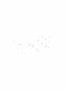 COc1ccc(Cl)cc1-c1nnc(CN2CCc3nc4ccccc4c(C(=O)O)c3C2)o1